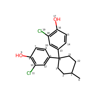 CC1CCC(c2ccc(O)c(Cl)c2)(c2ccc(O)c(Cl)c2)CC1